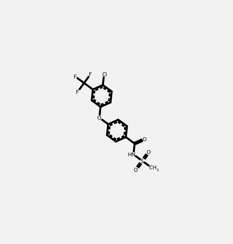 CS(=O)(=O)NC(=O)c1ccc(Oc2ccc(Cl)c(C(F)(F)F)c2)cc1